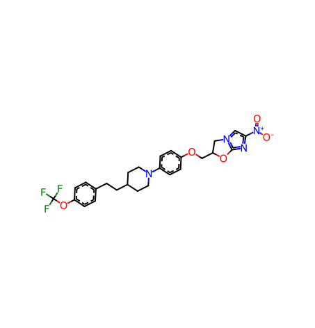 O=[N+]([O-])c1cn2c(n1)OC(COc1ccc(N3CCC(CCc4ccc(OC(F)(F)F)cc4)CC3)cc1)C2